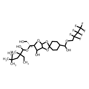 CCC(C)(CC(C)(C)C)C(O)O[C@H](CO)C1OC2OC3(CCC(C(O)OCC(F)(F)C(F)(F)C(F)(F)F)CC3)OC2C1O